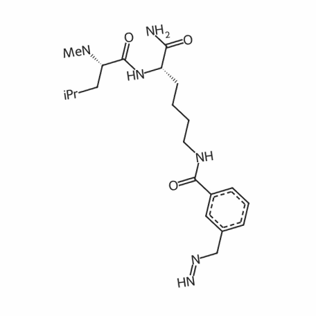 CN[C@@H](CC(C)C)C(=O)N[C@@H](CCCCNC(=O)c1cccc(CN=N)c1)C(N)=O